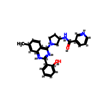 Cc1ccc2c(N3CCC(NC(=O)c4cccnc4)C3)nc(-c3ccccc3O)nc2c1